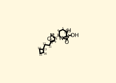 O=C1N(O)[C@@H]2CC[C@@H](c3cc(CCC4CCC4)on3)N1C2